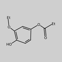 CCOc1cc(OC(=O)CC)ccc1O